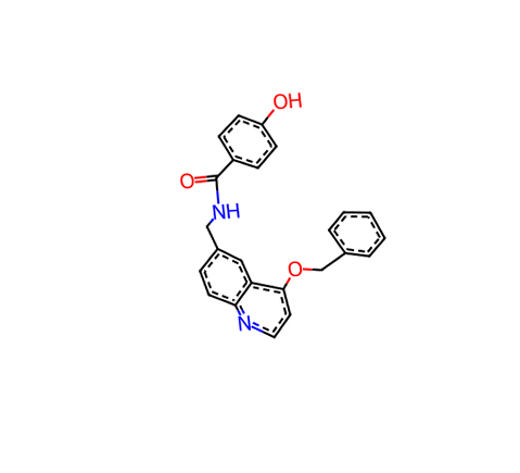 O=C(NCc1ccc2nccc(OCc3ccccc3)c2c1)c1ccc(O)cc1